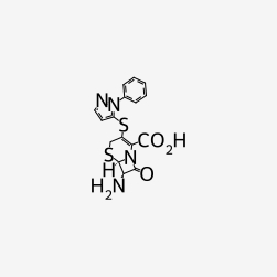 N[C@@H]1C(=O)N2C(C(=O)O)=C(Sc3ccnn3-c3ccccc3)CS[C@H]12